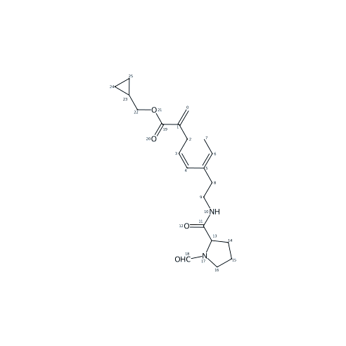 C=C(C/C=C\C(=C/C)CCNC(=O)C1CCCN1C=O)C(=O)OCC1CC1